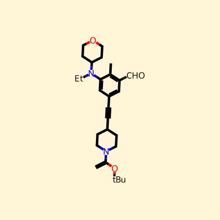 C=C(OC(C)(C)C)N1CCC(C#Cc2cc(C=O)c(C)c(N(CC)C3CCOCC3)c2)CC1